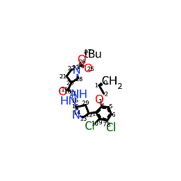 C=CCOc1ccc(Cl)c(Cl)c1C1CN=C(NNC(=O)C2CCN(C(=O)OC(C)(C)C)C2)C1